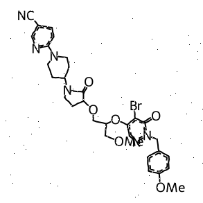 COCC(COC1CCN(C2CCN(c3ccc(C#N)cn3)CC2)C1=O)Oc1cnn(Cc2ccc(OC)cc2)c(=O)c1Br